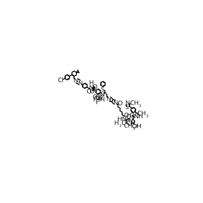 Cc1ncsc1-c1ccc([C@H](C)NC(=O)C2CC(O)CN2C(=O)[C@@H](NC(=O)CCCCCC(=O)N2CC3CN(CC[C@H](CSc4ccccc4)Nc4ccc(S(=O)(=O)NC(=O)c5ccc(N6CCN(CC7=C(c8ccc(Cl)cc8)CCC8(CC8)C7)CC6)cc5)cc4S(=O)(=O)C(F)(F)F)CC3C2)C(C)(C)C)cc1